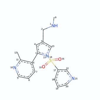 CNCc1cc(-c2cccnc2C)n(S(=O)(=O)c2cccnc2)c1